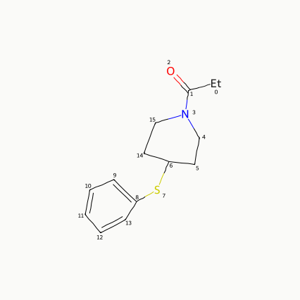 CCC(=O)N1CCC(Sc2ccccc2)CC1